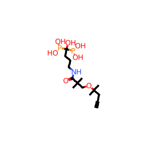 C#CCC(C)(C)OCC(C)(C)C(=O)NCCCC(O)(P(O)O)P(O)O